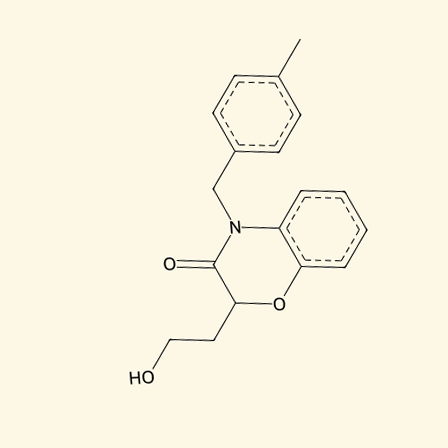 Cc1ccc(CN2C(=O)C(CCO)Oc3ccccc32)cc1